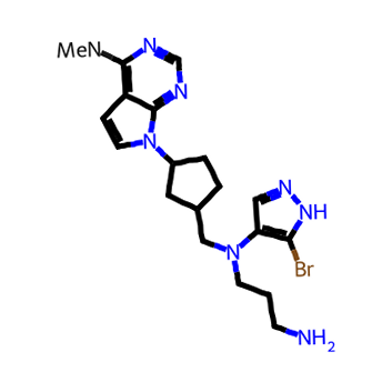 CNc1ncnc2c1ccn2C1CCC(CN(CCCN)c2cn[nH]c2Br)C1